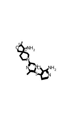 Cc1nc(N2CCC3(CC2)CO[C@@H](C)[C@H]3N)cnc1Sc1ccnc(N)c1Cl